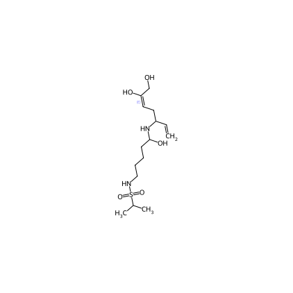 C=CC(C/C=C(/O)CO)NC(O)CCCCNS(=O)(=O)C(C)C